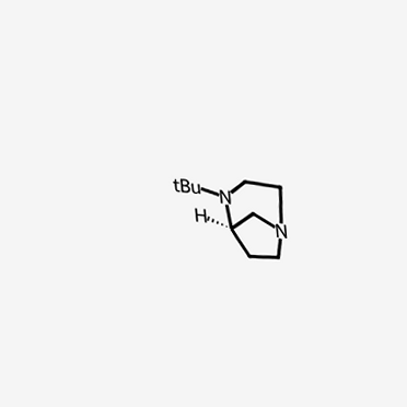 CC(C)(C)N1CCN2CC[C@@H]1C2